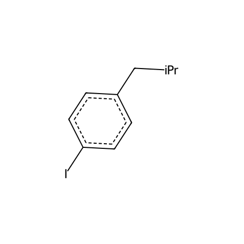 [CH2]C(C)Cc1ccc(I)cc1